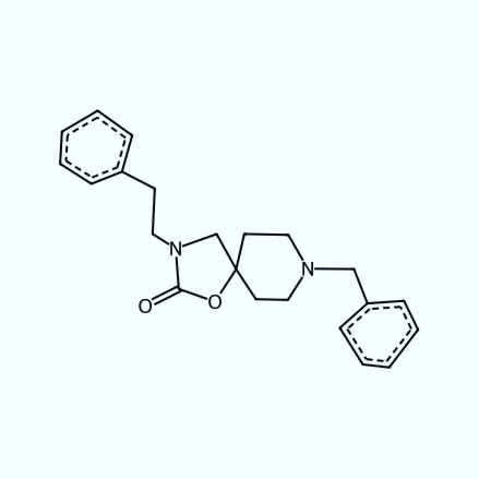 O=C1OC2(CCN(Cc3ccccc3)CC2)CN1CCc1ccccc1